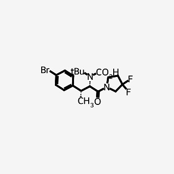 C[C@H](c1ccc(Br)cc1)[C@@H](C(=O)N1CCC(F)(F)C1)N(C(=O)O)C(C)(C)C